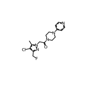 Cc1c(Cl)c(CF)nn1CC(=O)N1CCN(c2ccncc2)CC1